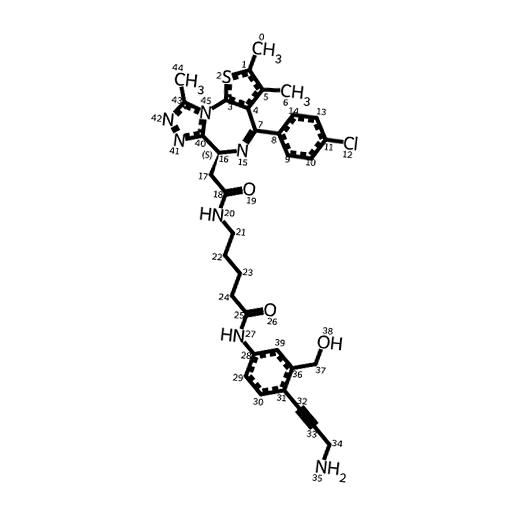 Cc1sc2c(c1C)C(c1ccc(Cl)cc1)=N[C@@H](CC(=O)NCCCCC(=O)Nc1ccc(C#CCN)c(CO)c1)c1nnc(C)n1-2